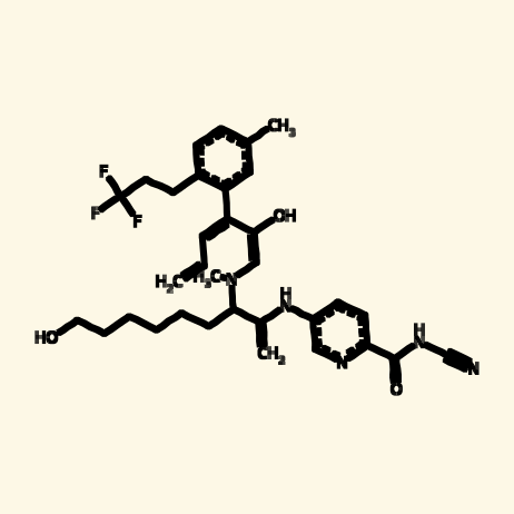 C=C/C=C(\C(O)=C/N(C)C(CCCCCCO)C(=C)Nc1ccc(C(=O)NC#N)nc1)c1cc(C)ccc1CCC(F)(F)F